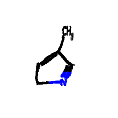 CC1=CCN=[C]1